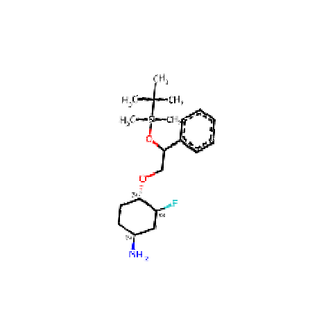 CC(C)(C)[Si](C)(C)OC(CO[C@H]1CC[C@H](N)C[C@@H]1F)c1ccccc1